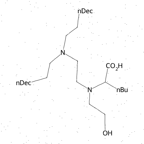 CCCCCCCCCCCCN(CCCCCCCCCCCC)CCN(CCO)C(CCCC)C(=O)O